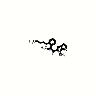 C/C=C(/C(=O)c1cc2ccsc2n1C)c1ccccc1CCCCC